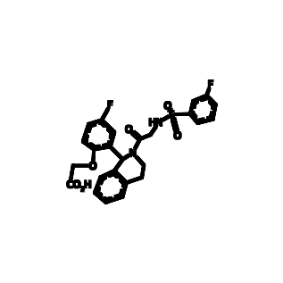 O=C(O)COc1ccc(F)cc1C1c2ccccc2CCN1C(=O)CNS(=O)(=O)c1cccc(F)c1